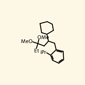 CCC(CC(Cc1ccccc1C(C)C)C1CCCCC1)(OC)OC